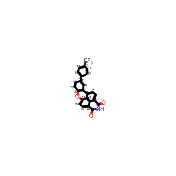 O=c1[nH]c(=O)c2ccc3c4cc(-c5ccc(C(F)(F)F)cc5)ccc4oc4ccc1c2c43